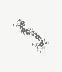 CCc1c2c(nc3ccc(O)cc13)-c1cc3c(c(=O)n1C2)COC(=O)C3(CC)OC(=O)N1CCN(Cc2ccc3c(c2)CN(C(=O)c2cc(C(C)C)c(O)cc2O)C3)CC1